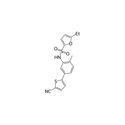 CCc1ccc(S(=O)(=O)Nc2cc(-c3ccc(C#N)s3)ccc2C)o1